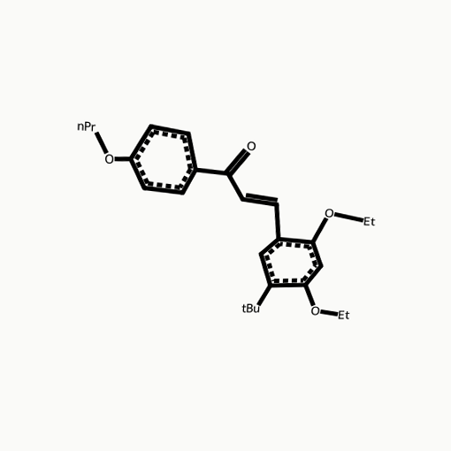 CCCOc1ccc(C(=O)C=Cc2cc(C(C)(C)C)c(OCC)cc2OCC)cc1